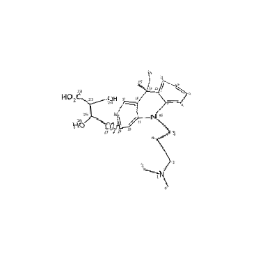 CN(C)CCCN1c2ccccc2C(C)(C)c2ccccc21.O=C(O)C(O)C(O)C(=O)O